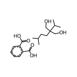 CC(C)CCC(CO)(CO)C(C)C.O=C(O)c1ccccc1C(=O)O